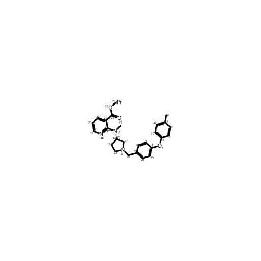 Cc1ccc(Oc2ccc(CN3CC[C@H](N(C)c4ncccc4C(=O)OC(C)C)C3)cc2)cc1